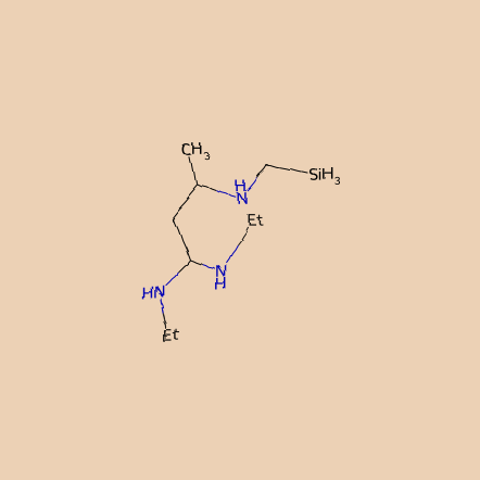 CCNC(CC(C)NC[SiH3])NCC